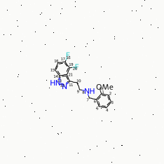 COc1ccccc1CNCCc1n[nH]c2ccc(F)c(F)c12